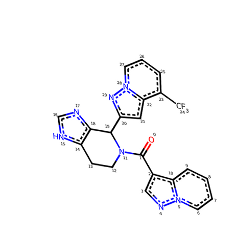 O=C(c1cnn2ccccc12)N1CCc2[nH]cnc2C1c1cc2c(C(F)(F)F)cccn2n1